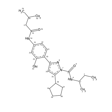 CCC(C)NC(=O)n1nc(-c2ccc(NC(=O)CC(C)C)cc2O)cc1C1CCCC1